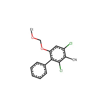 CCOCOc1cc(Cl)c(C#N)c(Cl)c1-c1ccccc1